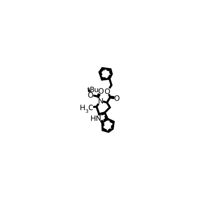 CC1c2[nH]c3ccccc3c2CC(C(=O)OCc2ccccc2)N1C(=O)OC(C)(C)C